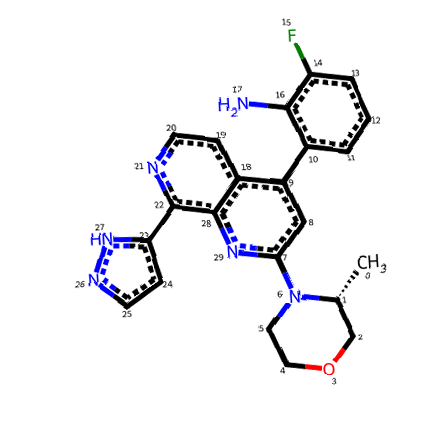 C[C@@H]1COCCN1c1cc(-c2cccc(F)c2N)c2ccnc(-c3ccn[nH]3)c2n1